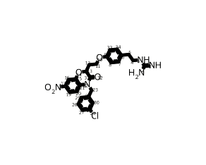 N=C(N)NCCc1ccc(OCCC2Oc3cc([N+](=O)[O-])ccc3N(Cc3cccc(Cl)c3)C2=O)cc1